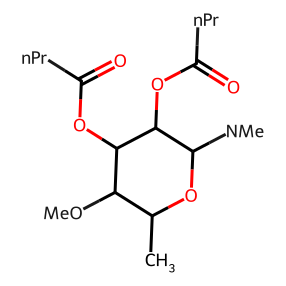 CCCC(=O)OC1C(NC)OC(C)C(OC)C1OC(=O)CCC